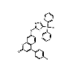 O=c1cc(-c2ccc(F)cc2)c2ccc(Sc3ncc(C(O)(c4ccccc4)c4ccccc4)s3)cc2o1